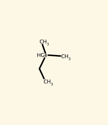 C[CH2][GeH]([CH3])[CH3]